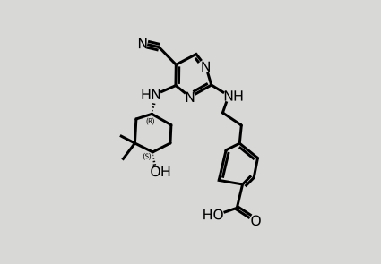 CC1(C)C[C@H](Nc2nc(NCCc3ccc(C(=O)O)cc3)ncc2C#N)CC[C@@H]1O